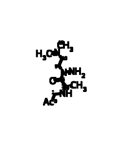 CC(=O)CN[C@@H](C)C(=O)N(N)CCN(C)C